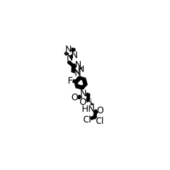 O=C(NC[C@H]1CN(c2ccc(-n3cc(Cn4cncn4)nn3)c(F)c2)C(=O)O1)C(Cl)Cl